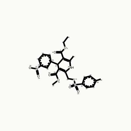 CCOC(=O)C1=C(C)NC(CSS(=O)(=O)c2ccc(C)cc2)=C(C(=O)OC)C1c1cccc([N+](=O)[O-])c1